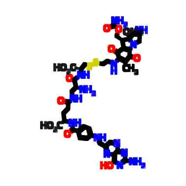 CO[C@]12C3NC3CN1C1=C(C(=O)C(NCCSSC[C@H](NC(=O)[C@@H](N)CNC(=O)CC[C@@H](NC(=O)c3ccc(NCc4cnc5nc(N)nc(O)c5n4)cc3)C(=O)O)C(=O)O)=C(C)C1=O)[C@H]2COC(N)=O